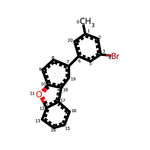 Cc1cc(Br)cc(-c2ccc3oc4ccccc4c3c2)c1